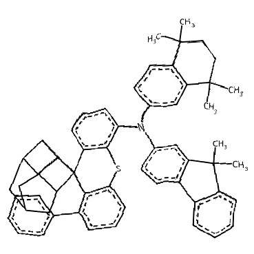 CC1(C)CCC(C)(C)c2cc(N(c3ccc4c(c3)C(C)(C)c3ccccc3-4)c3cccc4c3Sc3cccc(-c5ccccc5)c3C43C4CC5CC6CC3C64C5)ccc21